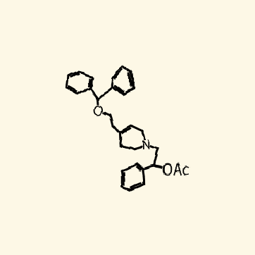 CC(=O)OC(CN1CC=C(CCOC(c2ccccc2)c2ccccc2)CC1)c1ccccc1